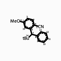 COc1ccc(C#N)c(C(c2ccccc2)C(C)(C)C)c1